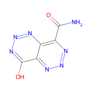 NC(=O)c1nnnc2c(O)nnnc12